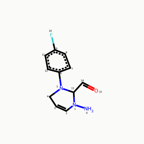 NN1C=CCN(c2ccc(F)cc2)C1C=O